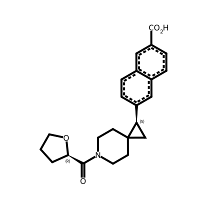 O=C(O)c1ccc2cc([C@H]3CC34CCN(C(=O)[C@H]3CCCO3)CC4)ccc2c1